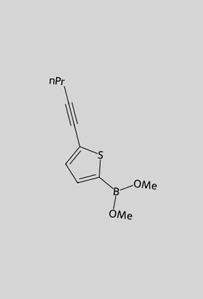 CCCC#Cc1ccc(B(OC)OC)s1